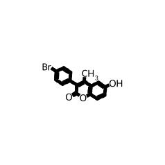 Cc1c(-c2ccc(Br)cc2)c(=O)oc2ccc(O)cc12